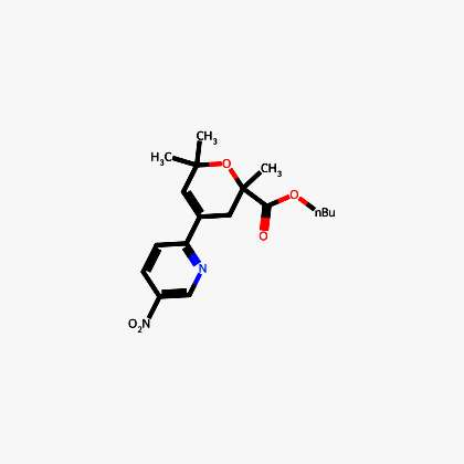 CCCCOC(=O)C1(C)CC(c2ccc([N+](=O)[O-])cn2)=CC(C)(C)O1